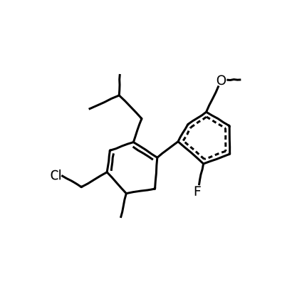 COc1ccc(F)c(C2=C(CC(C)C)C=C(CCl)C(C)C2)c1